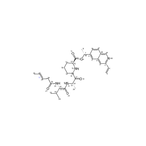 C=Cc1cc2cc([C@@H](C)OC(=O)[C@@H]3CCCN(C(=O)[C@H](C)NC(=O)[C@@H](NC(=O)C/C=C/C)C(C)C)N3)ccc2cn1